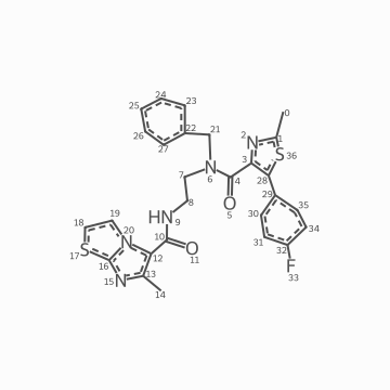 Cc1nc(C(=O)N(CCNC(=O)c2c(C)nc3sccn23)Cc2ccccc2)c(-c2ccc(F)cc2)s1